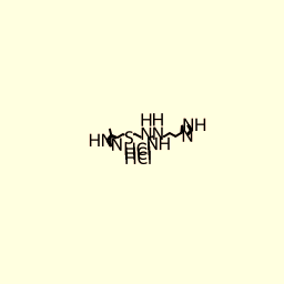 Cc1[nH]cnc1CSCCNC(=N)NCCCc1c[nH]cn1.Cl.Cl.Cl